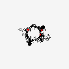 CC(=O)N[C@@H](CC(=O)O)C(=O)N[C@@H]1C(=O)N[C@@H](C)C(=O)N[C@@H](Cc2c[nH]c3ccccc23)C(=O)N[C@@H](C)C(=O)N[C@@H](CC(C)C)C(=O)NCC(=O)N[C@@H](CCC(=O)O)C(=O)N[C@@H](CC(C)C)C(=O)N[C@@H](C(C)C)C(=O)N[C@@H](Cc2c[nH]c3ccccc23)C(=O)NCCSSC1OC(=O)[C@@H](NC=O)[C@@H](C)O